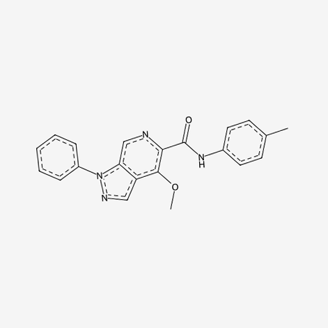 COc1c(C(=O)Nc2ccc(C)cc2)ncc2c1cnn2-c1ccccc1